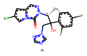 C[C@@H](n1ncc2cc(Br)cn2c1=O)C(O)(Cn1cncn1)c1ccc(F)cc1F.[Ar]